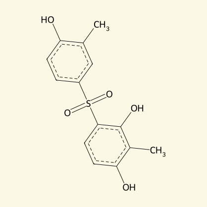 Cc1cc(S(=O)(=O)c2ccc(O)c(C)c2O)ccc1O